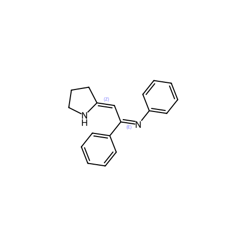 C(=C1\CCCN1)/C(=N\c1ccccc1)c1ccccc1